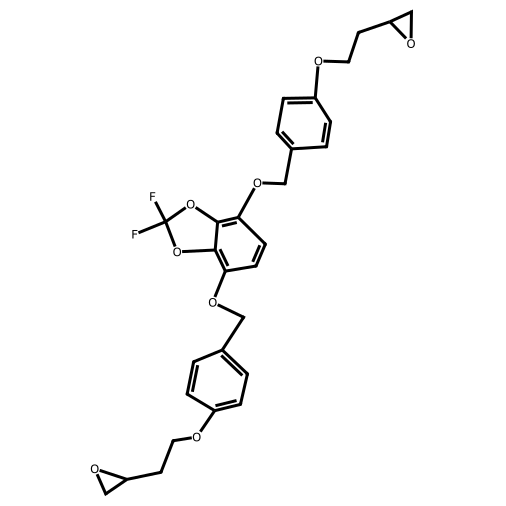 FC1(F)Oc2c(OCc3ccc(OCCC4CO4)cc3)ccc(OCc3ccc(OCCC4CO4)cc3)c2O1